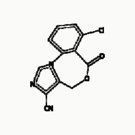 N#Cc1ncn2c1COC(=O)c1c(Cl)cccc1-2